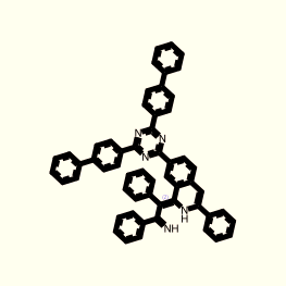 N=C(/C(=C1\NC(c2ccccc2)=Cc2ccc(-c3nc(-c4ccc(-c5ccccc5)cc4)nc(-c4ccc(-c5ccccc5)cc4)n3)cc21)c1ccccc1)c1ccccc1